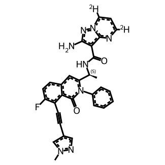 [2H]c1cc([2H])n2nc(N)c(C(=O)N[C@@H](C)c3cc4ccc(F)c(C#Cc5cnn(C)c5)c4c(=O)n3-c3ccccc3)c2n1